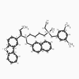 C/C=C(/c1ccc2oc3ccccc3c2c1)N(CCCC[N+](CC)(CBr)Cc1cc(C)cc(C)c1)Cc1ccc2ccccc2c1